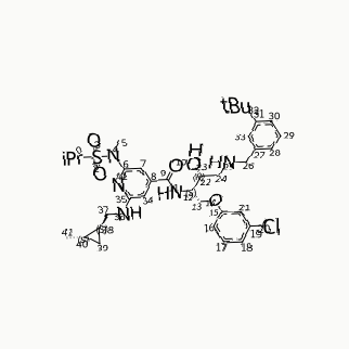 CC(C)S(=O)(=O)N(C)c1cc(C(=O)N[C@@H](COc2cccc(Cl)c2)[C@H](O)CNCc2cccc(C(C)(C)C)c2)cc(NC[C@H]2C[C@@H]2C)n1